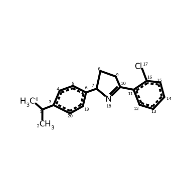 CC(C)c1ccc(C2CCC(c3ccccc3Cl)=N2)cc1